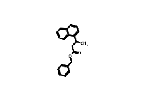 CC(CC(=O)OCc1ccccc1)c1cccc2ccccc12